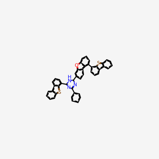 c1ccc(C2=NC(c3ccc4c(c3)oc3cccc(-c5cccc6c5sc5ccccc56)c34)NC(c3cccc4c3sc3ccccc34)=N2)cc1